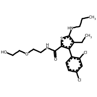 CCCNc1sc(C(=O)NCCOCCO)c(-c2ccc(Cl)cc2Cl)c1CC